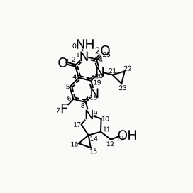 Nn1c(=O)c2cc(F)c(N3CC(CO)C4(CC4)C3)nc2n(C2CC2)c1=O